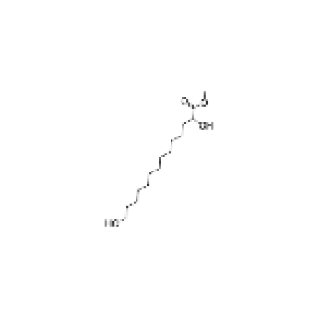 COC(=O)C(O)CCCCCCCCCCCCO